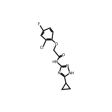 O=C(COc1ccc(F)cc1Cl)Nc1n[nH]c(C2CC2)n1